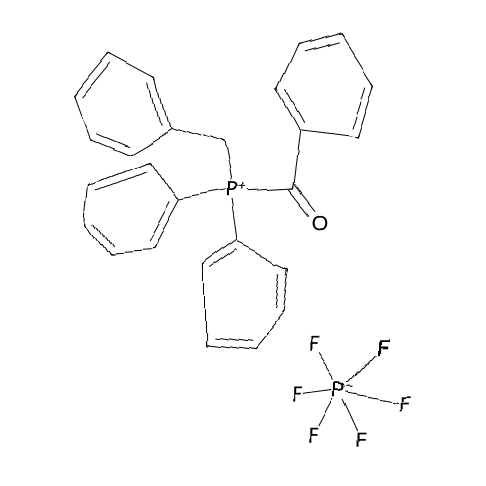 F[P-](F)(F)(F)(F)F.O=C(c1ccccc1)[P+](Cc1ccccc1)(c1ccccc1)c1ccccc1